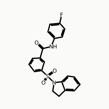 O=C(Nc1ccc(F)cc1)c1cccc(S(=O)(=O)N2CCc3ccccc32)c1